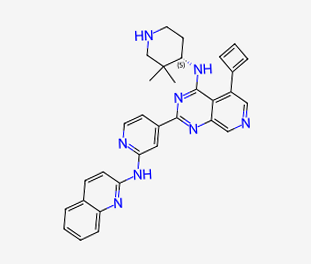 CC1(C)CNCC[C@@H]1Nc1nc(-c2ccnc(Nc3ccc4ccccc4n3)c2)nc2cncc(C3=CC=C3)c12